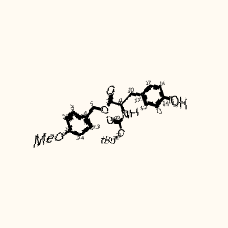 COc1ccc(COC(=O)[C@@H](Cc2ccc(O)cc2)NC(=O)OC(C)(C)C)cc1